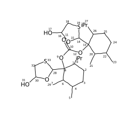 CC(C)C1CCC(C)C(C)C1(OC(=O)OC1(C2OC(O)CS2)C(C)C(C)CCC1C(C)C)C1OC(O)CS1